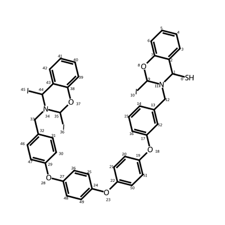 SC1c2ccccc2OC(I)N1Cc1cccc(Oc2ccc(Oc3ccc(Oc4ccc(CN5C(I)Oc6ccccc6C5I)cc4)cc3)cc2)c1